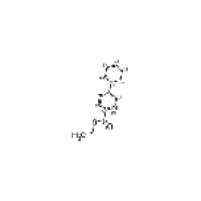 CCOC(=O)c1ccc(-c2ccccc2)cn1